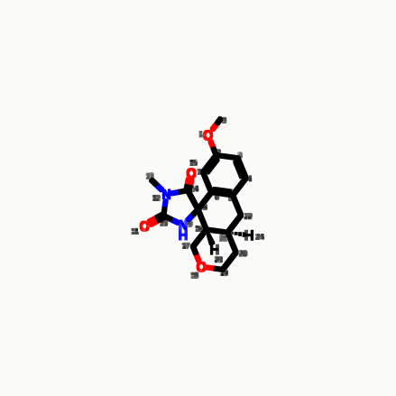 COc1ccc2c(c1)C1(NC(=O)N(C)C1=O)[C@H]1COCC[C@@H]1C2